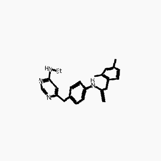 C=C(Cc1ccc(C)cc1C)Nc1ccc(Cc2cc(NCC)ncn2)cc1